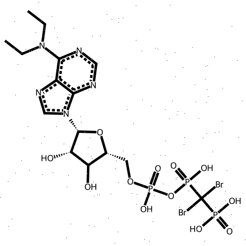 CCN(CC)c1ncnc2c1ncn2[C@@H]1O[C@H](COP(=O)(O)OP(=O)(O)C(Br)(Br)P(=O)(O)O)C(O)[C@@H]1O